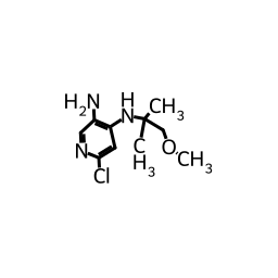 COCC(C)(C)Nc1cc(Cl)ncc1N